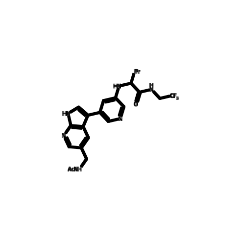 CC(=O)NCc1cnc2[nH]cc(-c3cncc(NC(C(=O)NCC(F)(F)F)C(C)C)c3)c2c1